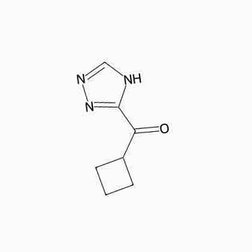 O=C(c1nnc[nH]1)C1CCC1